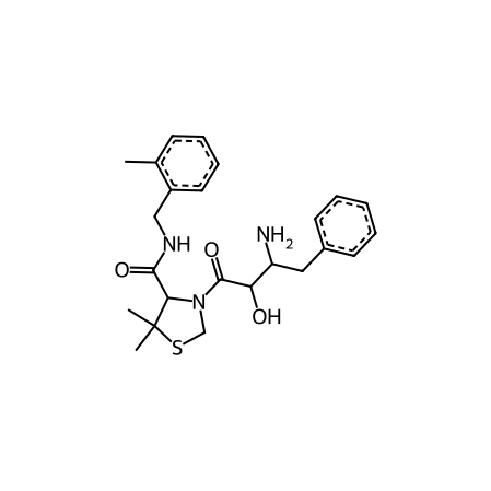 Cc1ccccc1CNC(=O)C1N(C(=O)C(O)C(N)Cc2ccccc2)CSC1(C)C